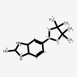 CC1(C)OB(C2=CC3NC(O)NC3C=C2)OC1(C)C